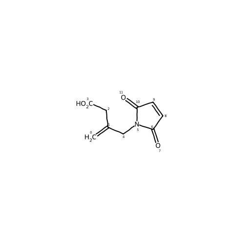 C=C(CC(=O)O)CN1C(=O)C=CC1=O